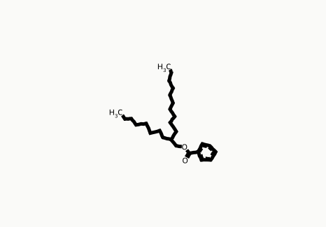 CCCCCCCCCCC(CCCCCCCC)COC(=O)c1ccccc1